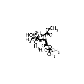 COC(=O)C[C@H](CC(=O)OC(C)(C)C)CC(C)(C)[Si](C)(C)O